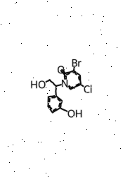 O=c1c(Br)cc(Cl)cn1C(CO)c1cccc(O)c1